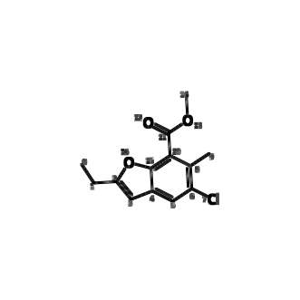 CCc1cc2cc(Cl)c(C)c(C(=O)OC)c2o1